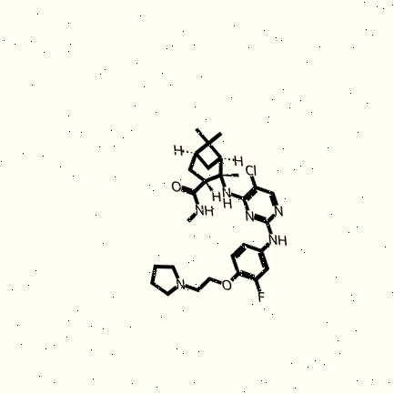 CNC(=O)[C@@H]1C[C@@H]2C[C@@H](C2(C)C)[C@]1(C)Nc1nc(Nc2ccc(OCCN3CCCC3)c(F)c2)ncc1Cl